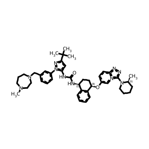 C[C@H]1CCCCN1c1nnc2ccc(O[C@@H]3CC[C@H](NC(=O)Nc4cc(C(C)(C)C)nn4-c4cccc(CN5CCCN(C)CC5)c4)c4ccccc43)cn12